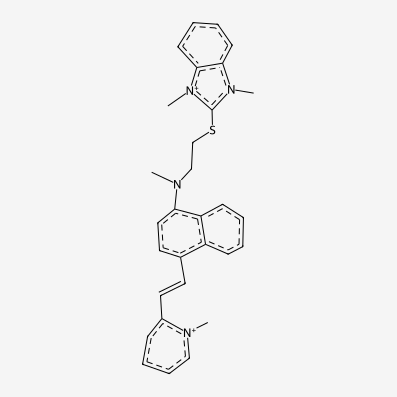 CN(CCSc1n(C)c2ccccc2[n+]1C)c1ccc(/C=C/c2cccc[n+]2C)c2ccccc12